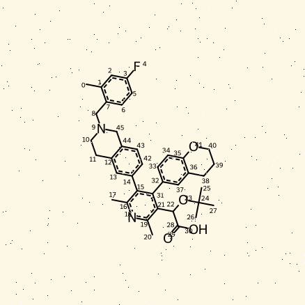 Cc1cc(F)ccc1CN1CCc2cc(-c3c(C)nc(C)c(C(OC(C)(C)C)C(=O)O)c3-c3ccc4c(c3)CCCO4)ccc2C1